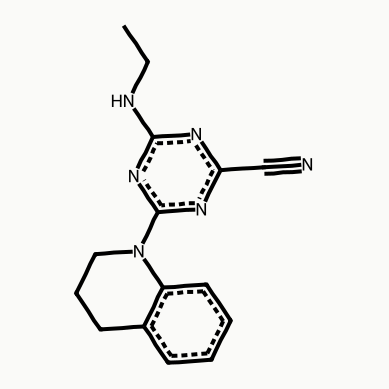 CCNc1nc(C#N)nc(N2CCCc3ccccc32)n1